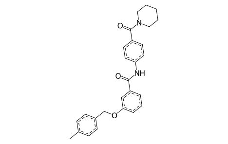 Cc1ccc(COc2cccc(C(=O)Nc3ccc(C(=O)N4CCCCC4)cc3)c2)cc1